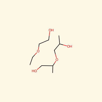 CC(O)COC(C)CO.CCOCCO